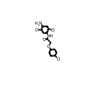 Nc1cc(Cl)c(NC(=O)COc2ccc(Cl)cc2)cc1Cl